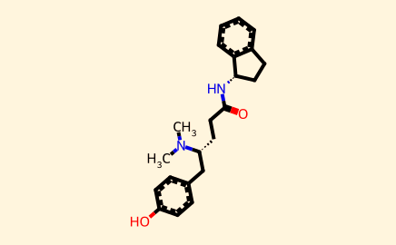 CN(C)[C@H](CCC(=O)N[C@H]1CCc2ccccc21)Cc1ccc(O)cc1